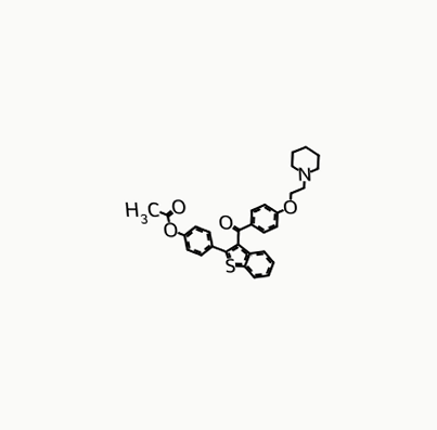 CC(=O)Oc1ccc(-c2sc3ccccc3c2C(=O)c2ccc(OCCN3CCCCC3)cc2)cc1